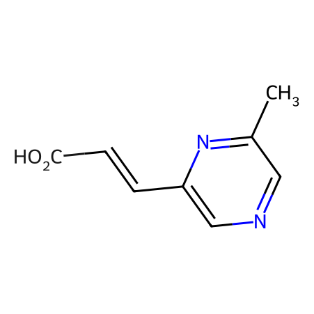 Cc1cncc(C=CC(=O)O)n1